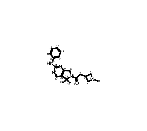 CN1CC(CC(=O)N2Cc3nc(Nc4ccccc4)ncc3C2(C)C)C1